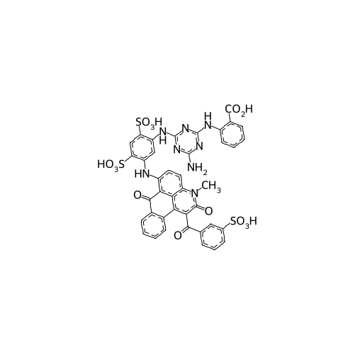 Cn1c(=O)c(C(=O)c2cccc(S(=O)(=O)O)c2)c2c3c(c(Nc4cc(Nc5nc(N)nc(Nc6ccccc6C(=O)O)n5)c(S(=O)(=O)O)cc4S(=O)(=O)O)ccc31)C(=O)c1ccccc1-2